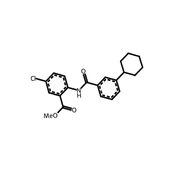 COC(=O)c1cc(Cl)ccc1NC(=O)c1cccc(C2CCCCC2)c1